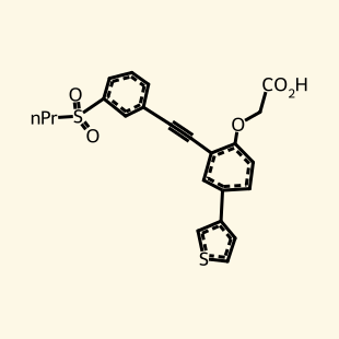 CCCS(=O)(=O)c1cccc(C#Cc2cc(-c3ccsc3)ccc2OCC(=O)O)c1